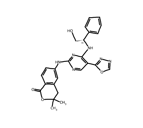 CC1(C)Cc2cc(Nc3ncc(-c4nnco4)c(N[C@H](CO)c4ccccc4)n3)ccc2C(=O)O1